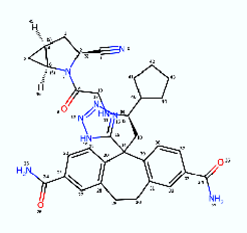 N#C[C@@H]1C[C@@H]2C[C@@H]2N1C(=O)CN[C@H](CC1(c2nnn[nH]2)c2ccc(C(N)=O)cc2CCc2cc(C(N)=O)ccc21)C1CCCC1